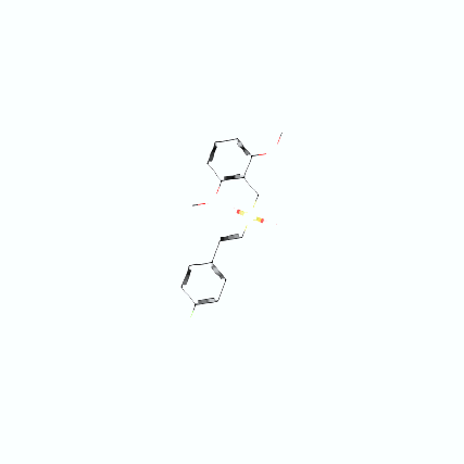 COc1cccc(OC)c1CS(=O)(=O)C=Cc1ccc(F)cc1